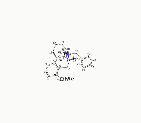 COc1cccc2c1C[C@@H]1[C@@H]3CCCC[C@]23CCN1Cc1ccccc1